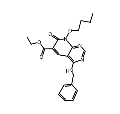 CCCCOn1c(=O)c(C(=O)OCC)cc2c(NCc3ccccc3)ncnc21